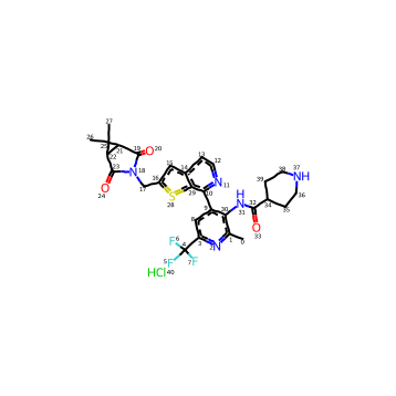 Cc1nc(C(F)(F)F)cc(-c2nccc3cc(CN4C(=O)C5C(C4=O)C5(C)C)sc23)c1NC(=O)C1CCNCC1.Cl